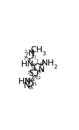 CN1CC[C@H](Nc2cc(N)nc3cc(-c4ccn[nH]4)sc23)C1